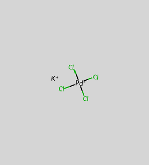 [Cl][Pd-]([Cl])([Cl])[Cl].[K+]